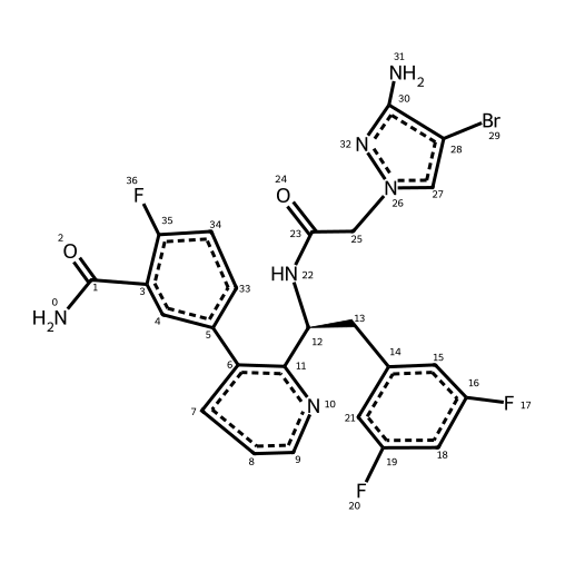 NC(=O)c1cc(-c2cccnc2[C@H](Cc2cc(F)cc(F)c2)NC(=O)Cn2cc(Br)c(N)n2)ccc1F